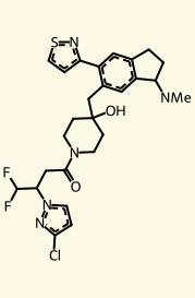 CNC1CCc2cc(-c3ccsn3)c(CC3(O)CCN(C(=O)CC(C(F)F)n4ccc(Cl)n4)CC3)cc21